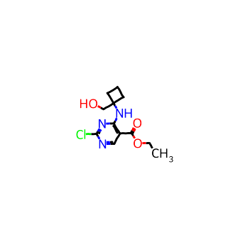 CCOC(=O)c1cnc(Cl)nc1NC1(CO)CCC1